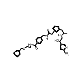 C[C@H](Cc1cccc(CC(=O)NCc2ccc(C(=O)NCCOCc3ccccc3)cc2)c1)NC[C@H](O)c1ccc(N)nc1